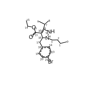 CCCCN1NC(C(C)C)=C(C(=O)OCC)C1Cc1ccc(Br)cc1